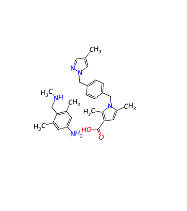 CNCc1c(C)cc(N)cc1C.Cc1cnn(Cc2ccc(Cn3c(C)cc(C(=O)O)c3C)cc2)c1